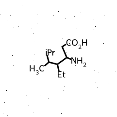 CCC(C(N)CC(=O)O)C(C)C(C)C